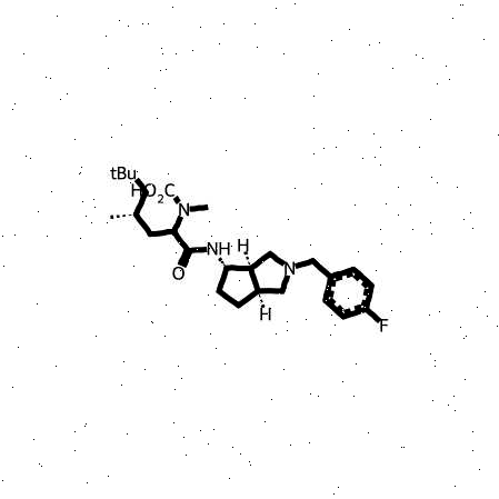 C[C@@H](CC(C(=O)N[C@H]1CC[C@@H]2CN(Cc3ccc(F)cc3)C[C@@H]21)N(C)C(=O)O)CC(C)(C)C